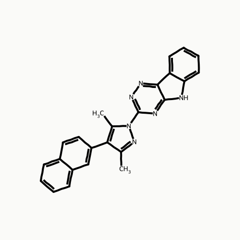 Cc1nn(-c2nnc3c(n2)[nH]c2ccccc23)c(C)c1-c1ccc2ccccc2c1